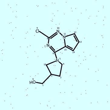 OCC1CCN(c2nc(Cl)nn3cccc23)C1